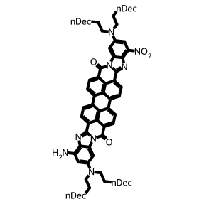 CCCCCCCCCCCCN(CCCCCCCCCCCC)c1cc(N)c2nc3c4ccc5c6ccc7c(=O)n8c9cc(N(CCCCCCCCCCCC)CCCCCCCCCCCC)cc([N+](=O)[O-])c9nc8c8ccc(c9ccc(c(=O)n3c2c1)c4c59)c6c78